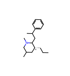 CCC[C@@H]1CC(C)CN(C)C1CC(C)c1ccccc1